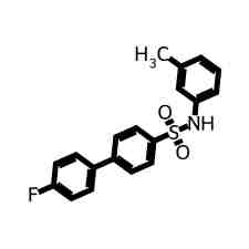 Cc1cccc(NS(=O)(=O)c2ccc(-c3ccc(F)cc3)cc2)c1